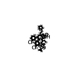 CCC(CN(C)S(=O)(=O)C1CC1)N1C(=O)[C@@](CCN2CCCC2)(CC(=O)O)C[C@H](c2cccc(Cl)c2)[C@H]1c1ccc(Cl)cc1